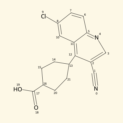 N#Cc1cnc2ccc(Cl)cc2c1C1CCC(C(=O)O)CC1